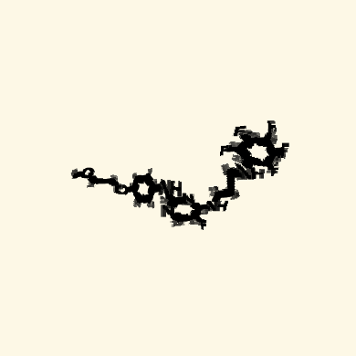 COCCOc1ccc(Nc2ncc(F)c(NCCCNc3c(F)c(F)c(F)c(F)c3F)n2)cc1